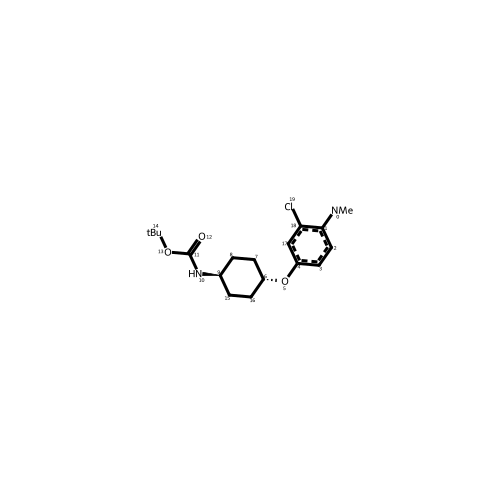 CNc1ccc(O[C@H]2CC[C@H](NC(=O)OC(C)(C)C)CC2)cc1Cl